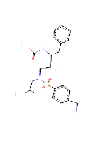 CC(C)CN(C[C@@H](O)[C@H](Cc1ccccc1)NC(=O)O)S(=O)(=O)c1ccc(CN)cc1